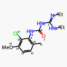 CCN=C(NCC)NC(=O)Nc1c(C)ccc(OC)c1Cl